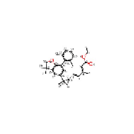 CCOC(=O)C=C(C)C=C[C@@H]1C[C@]1(C)c1cc(-c2c(C)cccc2C)c2c(c1)C(C)(C)CO2